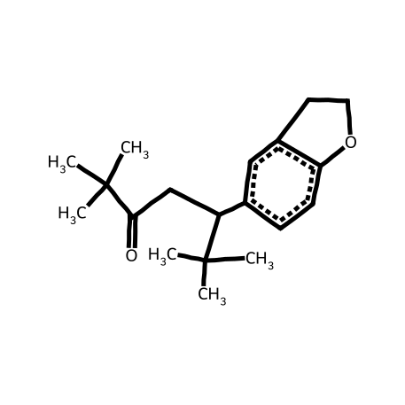 CC(C)(C)C(=O)CC(c1ccc2c(c1)CCO2)C(C)(C)C